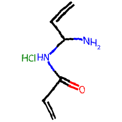 C=CC(=O)NC(N)C=C.Cl